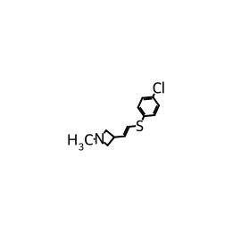 CN1CC(/C=C/Sc2ccc(Cl)cc2)C1